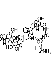 C=C(N)NCCCC1NC(=O)CNC(=O)C(CC(=O)O)NC(=O)C(Cc2ccccc2)NC(=O)C(CCCCNC(=O)C2O[C@@H](O[C@H]3C(O)C(CO)O[C@@H](C)C3NC(C)=O)C(O)[C@@H](O)[C@@H]2OC)NC1=O